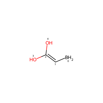 BC=C(O)O